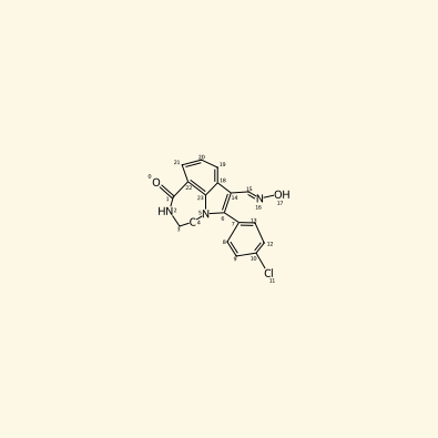 O=C1NCCn2c(-c3ccc(Cl)cc3)c(C=NO)c3cccc1c32